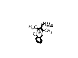 CNCc1c(C)nn(Cc2ccccc2Cl)c1C